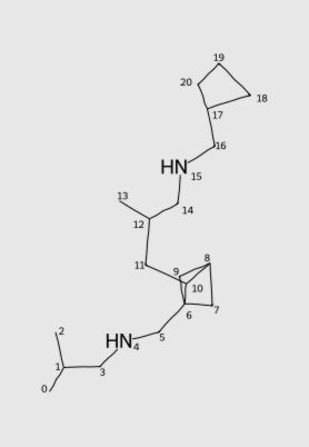 CC(C)CNCC12CC(C1)C2CC(C)CNCC1CCC1